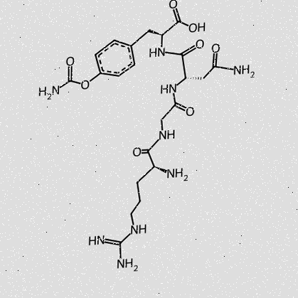 N=C(N)NCCC[C@H](N)C(=O)NCC(=O)N[C@@H](CC(N)=O)C(=O)N[C@@H](Cc1ccc(OC(N)=O)cc1)C(=O)O